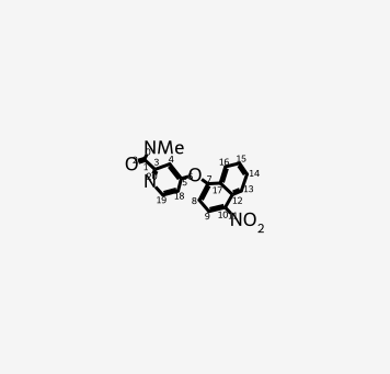 CNC(=O)c1cc(Oc2ccc([N+](=O)[O-])c3ccccc23)ccn1